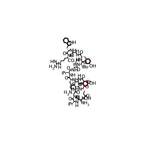 CC[C@H](C)[C@H](NC(=O)CNC(=O)[C@@H](NC(=O)[C@H](CCCCN)NC(=O)[C@H](Cc1ccc(O)cc1)NC(=O)[C@@H](NC(=O)[C@H](CCC(N)=O)NC(=O)[C@@H]1CCCN1C(=O)CNC(=O)[C@@H](NC(=O)[C@@H](N)CO)C(C)C)C(C)C)C(C)C)C(=O)N[C@@H](Cc1ccc(O)cc1)C(=O)NCC(=O)N[C@@H](Cc1c[nH]c2ccccc12)C(=O)N[C@@H](CCCNC(=N)N)C(=O)O